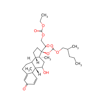 CCCC(C)COC(=O)O[C@]1(C(=O)COC(=O)OCC)CC[C@H]2[C@@H]3CCC4=CC(=O)C=C[C@]4(C)[C@H]3C(O)C[C@@]21C